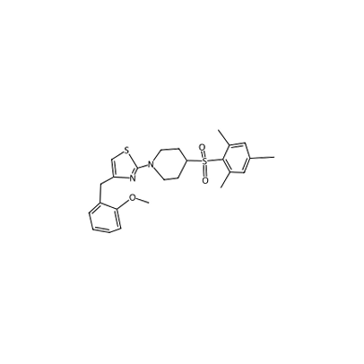 COc1ccccc1Cc1csc(N2CCC(S(=O)(=O)c3c(C)cc(C)cc3C)CC2)n1